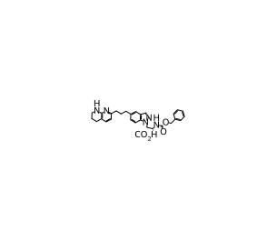 O=C(N[C@@H](Cn1ncc2cc(CCCc3ccc4c(n3)NCCC4)ccc21)C(=O)O)OCc1ccccc1